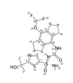 CC(C)(O)c1ncc([S@](N)(=O)=NC(=O)Nc2c3c(c(OC(F)F)c4c2CCC4)CCC3)s1